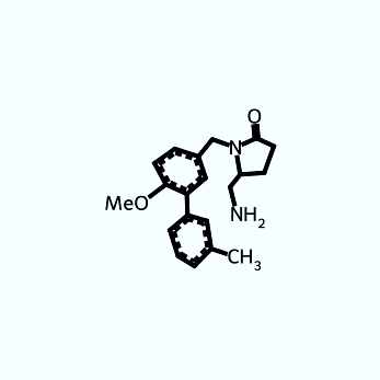 COc1ccc(CN2C(=O)CCC2CN)cc1-c1cccc(C)c1